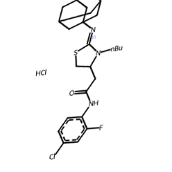 CCCCN1/C(=N/C23CC4CC(CC(C4)C2)C3)SCC1CC(=O)Nc1ccc(Cl)cc1F.Cl